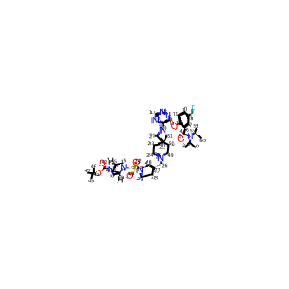 CC(C)N(C(=O)c1cc(F)ccc1Oc1nncnc1N1CC2(CCN(C[C@@H]3CCN(S(=O)(=O)N4C[C@@H]5C[C@H]4CN5C(=O)OC(C)(C)C)C3)CC2)C1)C(C)C